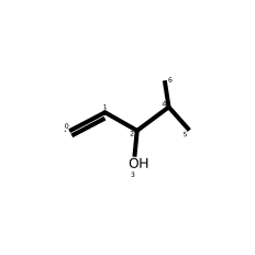 [CH]=CC(O)C(C)C